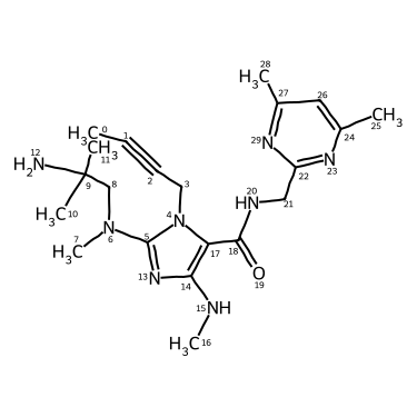 CC#CCn1c(N(C)CC(C)(C)N)nc(NC)c1C(=O)NCc1nc(C)cc(C)n1